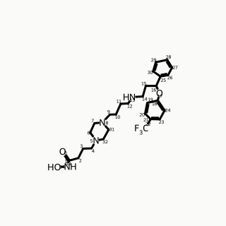 O=C(CCCN1CCN(CCCCNCCC(Oc2ccc(C(F)(F)F)cc2)c2ccccc2)CC1)NO